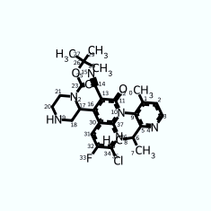 Cc1ccnc(C(C)C)c1-n1c(=O)c(C#N)c(C2CNCCN2C(=O)OC(C)(C)C)c2cc(F)c(Cl)nc21